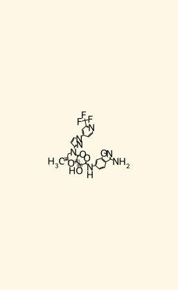 C[C@H]1CN(c2ccn(-c3ccnc(C(F)(F)F)c3)n2)C(=O)[C@@H]([C@@H](O)C(=O)Nc2ccc3c(N)noc3c2)O1